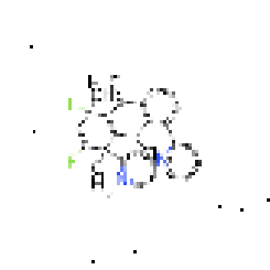 CC1C2=C(C(C)c3c(-c4ccccn4)cccc31)C(C)(c1ccccn1)C(F)=CC2(C)F